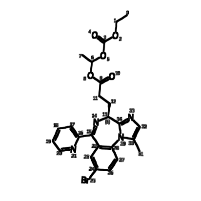 CCOC(=O)OC(C)OC(=O)CC[C@@H]1N=C(c2ccccn2)c2cc(Br)ccc2-n2c(C)cnc21